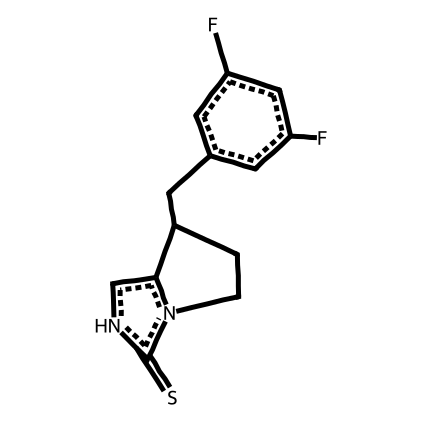 Fc1cc(F)cc(CC2CCn3c2c[nH]c3=S)c1